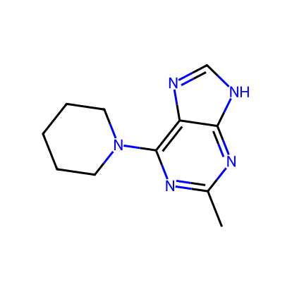 Cc1nc(N2CCCCC2)c2nc[nH]c2n1